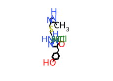 Cc1[nH]cnc1CSCCNc1ncc(Cc2ccc(O)cc2)c(=O)[nH]1.Cl.Cl